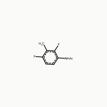 CC(=O)Nc1ccc(F)c(C)c1F